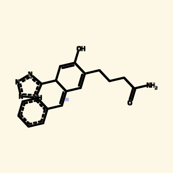 NC(=O)CCCC1=C/C(=C/c2ccccc2)C(c2nnn[nH]2)C=C1O